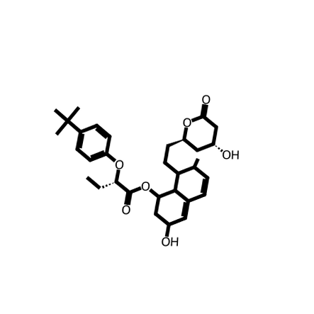 CC[C@H](Oc1ccc(C(C)(C)C)cc1)C(=O)OC1CC(O)C=C2C=CC(C)C(CC[C@@H]3C[C@@H](O)CC(=O)O3)C21